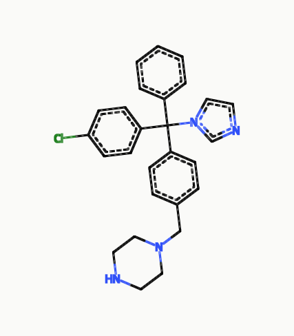 Clc1ccc(C(c2ccccc2)(c2ccc(CN3CCNCC3)cc2)n2ccnc2)cc1